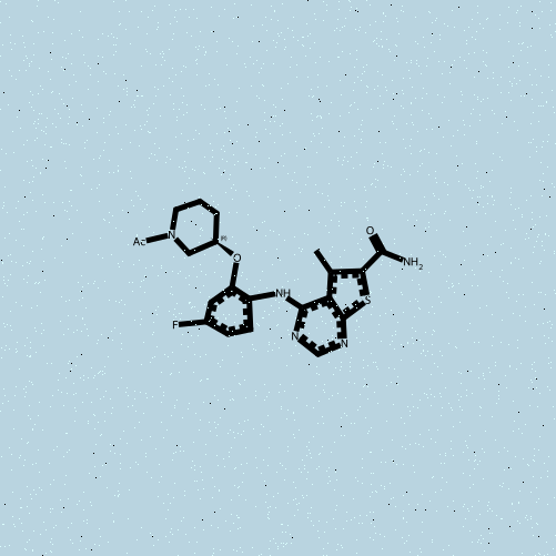 CC(=O)N1CCC[C@@H](Oc2cc(F)ccc2Nc2ncnc3sc(C(N)=O)c(C)c23)C1